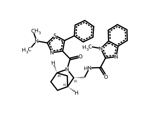 CN(C)c1nc(C(=O)N2[C@@H]3CC[C@@H](C3)[C@H]2CNC(=O)c2nc3ccccc3n2C)c(-c2ccccc2)s1